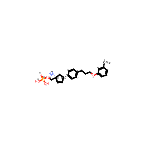 COc1cccc(OCCCc2ccc([C@@H]3CC[C@@](N)(COP(=O)(O)O)C3)cc2)c1